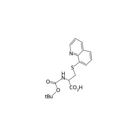 CC(C)(C)OC(=O)NC(CSc1cccc2cccnc12)C(=O)O